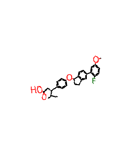 COc1ccc(F)c(-c2ccc3c(c2)CCC3Oc2ccc([C@H](CC(=O)O)C(C)C)cc2)c1